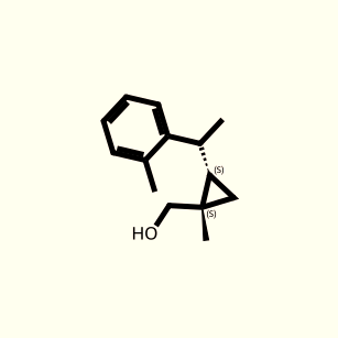 Cc1ccccc1C(C)[C@@H]1C[C@]1(C)CO